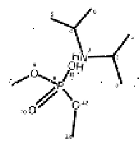 CC(C)NC(C)C.COP(=O)(O)OC